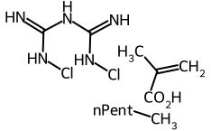 C=C(C)C(=O)O.CCCCCC.N=C(NCl)NC(=N)NCl